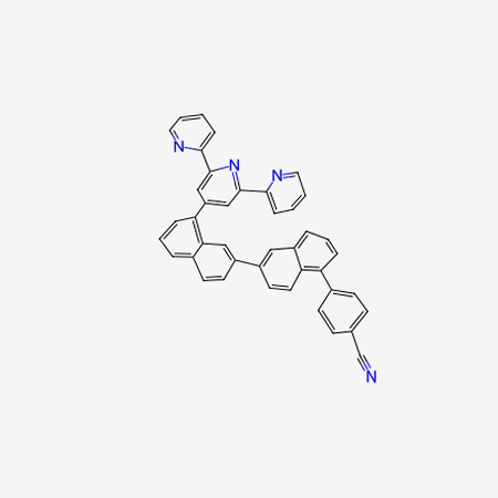 N#Cc1ccc(-c2cccc3cc(-c4ccc5cccc(-c6cc(-c7ccccn7)nc(-c7ccccn7)c6)c5c4)ccc23)cc1